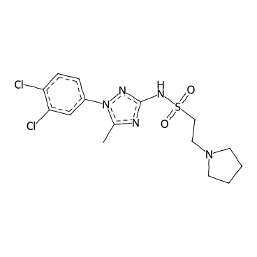 Cc1nc(NS(=O)(=O)CCN2CCCC2)nn1-c1ccc(Cl)c(Cl)c1